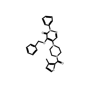 Cc1ccsc1C(=O)N1CCN(c2cnn(-c3ccccc3)c(=O)c2OCc2ccccc2)CC1